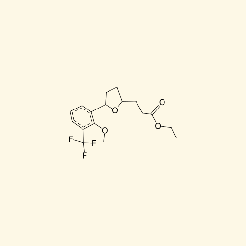 CCOC(=O)CCC1CCC(c2cccc(C(F)(F)F)c2OC)O1